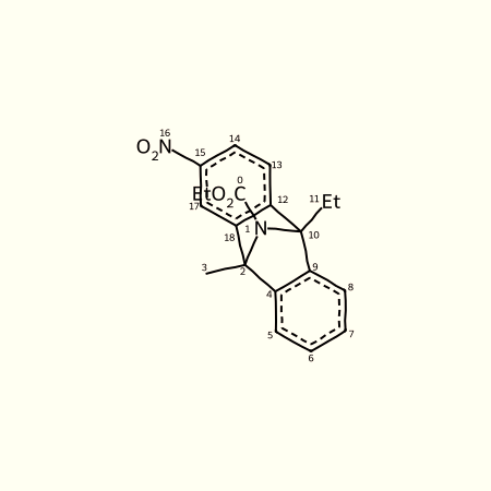 CCOC(=O)N1C2(C)c3ccccc3C1(CC)c1ccc([N+](=O)[O-])cc12